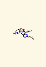 COc1c(=O)n(C2(C)CCNC2)cc2cnc(C)nc12